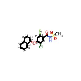 CS(=O)(=O)NC(=O)c1cc(Cl)c(Oc2cccc3ccccc23)cc1F